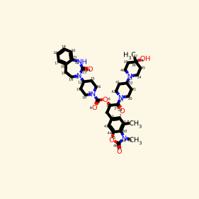 Cc1cc(CC(OC(=O)N2CCC(N3CCc4ccccc4NC3=O)CC2)C(=O)N2CCC(N3CCC(C)(O)CC3)CC2)cc2oc(=O)n(C)c12